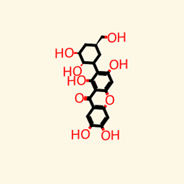 O=c1c2cc(O)c(O)cc2oc2cc(O)c(C3C[C@H](CO)C[C@H](O)[C@H]3O)c(O)c12